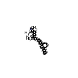 C/C=C\c1sc2ccc3cc4c(cc3c2c1C)C(C)(C)c1ccc(-c2ccc3cc(-c5ccccccc(-c6ccc7ccccc7c6)c6ccccc56)ccc3c2)cc1-4